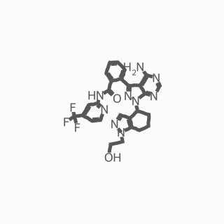 Nc1ncnc2c1c(-c1ccccc1C(=O)Nc1cc(C(F)(F)F)ccn1)nn2C1CCCc2c1cnn2CCO